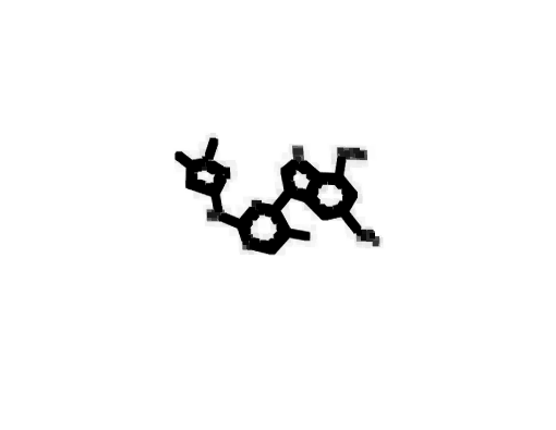 CC(=O)Nc1cc([N+](=O)[O-])cc2c(-c3nc(Nc4cc(C)n(C)n4)ncc3C)c[nH]c12